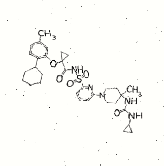 Cc1ccc(C2CCCCC2)c(OC2(C(=O)NS(=O)(=O)c3cccc(N4CCC(C)(NC(=O)NC5CC5)CC4)n3)CC2)c1